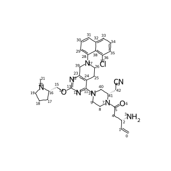 C=C[C@@H](N)CC(=O)N1CCN(c2nc(OC[C@@H]3CCCN3C)nc3c2CCN(c2cccc4cccc(Cl)c24)C3)C[C@@H]1CC#N